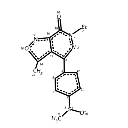 CCn1nc(-c2ccc([S+](C)[O-])cc2)c2c(C)onc2c1=O